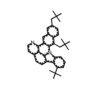 CC(C)(C)Cc1ccc2c(CC(C)(C)C)c3c(cc2c1)c1nccc2ccc4c5c(C(C)(C)C)cccc5n3c4c21